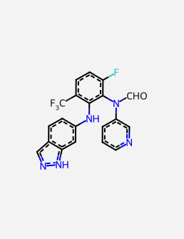 O=CN(c1cccnc1)c1c(F)ccc(C(F)(F)F)c1Nc1ccc2cn[nH]c2c1